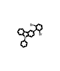 Brc1cccc(Br)c1-c1ccc2c(c1)c1ccccc1n2-c1ccccc1